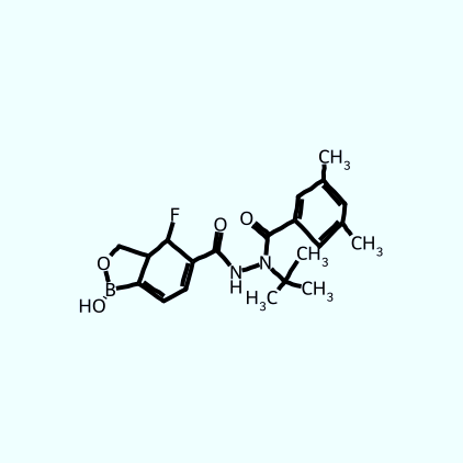 Cc1cc(C)cc(C(=O)N(NC(=O)C2=CC=C3B(O)OCC3C2F)C(C)(C)C)c1